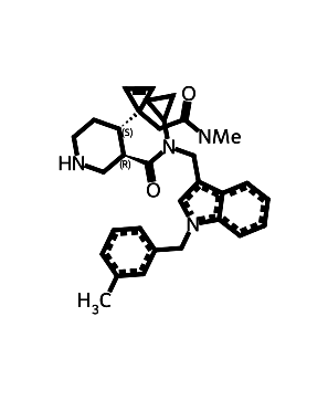 CNC(=O)CC1([C@H]2CCNC[C@@H]2C(=O)N(Cc2cn(Cc3cccc(C)c3)c3ccccc23)C2CC2)C=C1